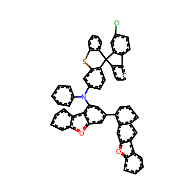 Clc1ccc2c(c1)C1(c3ccccc3Sc3cc(N(c4ccccc4)c4cc(-c5cccc6cc7c(cc56)oc5ccccc57)cc5oc6ccccc6c45)ccc31)c1ccccc1-2